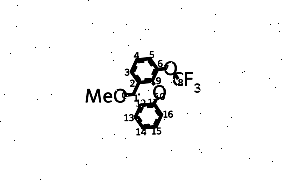 CO[CH]c1cccc(OC(F)(F)F)c1Oc1ccccc1